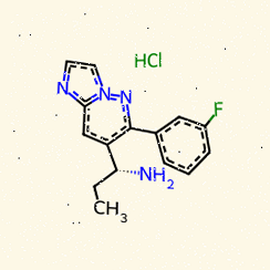 CC[C@@H](N)c1cc2nccn2nc1-c1cccc(F)c1.Cl